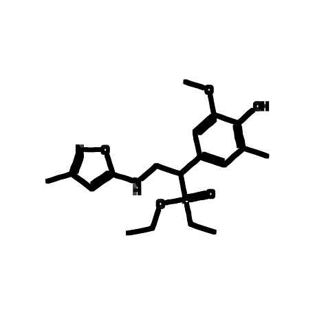 CCOP(=O)(CC)C(CNc1cc(C)no1)c1cc(C)c(O)c(OC)c1